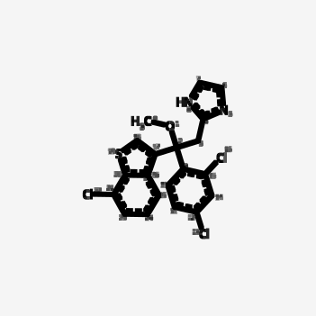 COC(Cc1ncc[nH]1)(c1ccc(Cl)cc1Cl)c1csc2c(Cl)cccc12